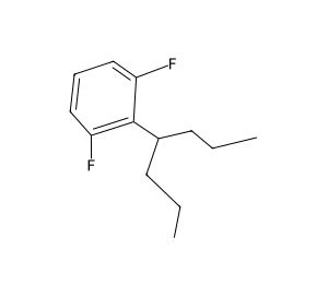 CCCC(CCC)c1c(F)cccc1F